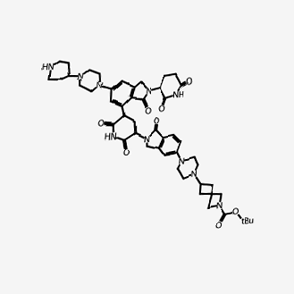 CC(C)(C)OC(=O)N1CC2(CC(N3CCN(c4ccc5c(c4)CN(C4CC(c6cc(N7CCN(C8CCNCC8)CC7)cc7c6C(=O)N(C6CCC(=O)NC6=O)C7)C(=O)NC4=O)C5=O)CC3)C2)C1